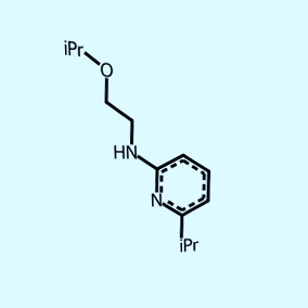 CC(C)OCCNc1cccc(C(C)C)n1